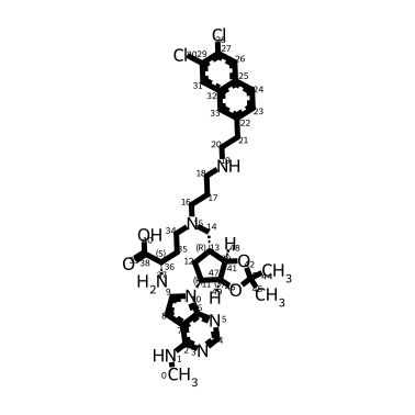 CNc1ncnc2c1ccn2[C@@H]1C[C@H](CN(CCCNCCc2ccc3cc(Cl)c(Cl)cc3c2)CC[C@H](N)C(=O)O)[C@H]2OC(C)(C)O[C@H]21